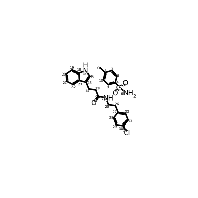 Cc1ccc(S(N)(=O)=O)cc1.O=C(CCc1c[nH]c2ccccc12)NCCc1ccc(Cl)cc1